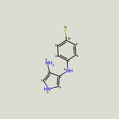 Nc1c[nH]cc1Nc1ccc(F)cc1